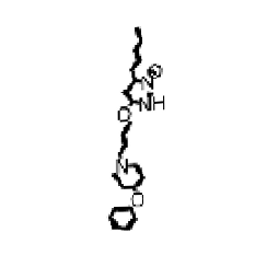 CCCCCC(CC(NC)OCCCCN1CCC(Oc2ccccc2)CC1)N=O